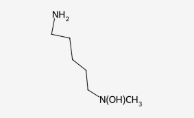 CN(O)CCCCCN